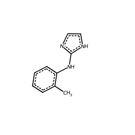 Cc1ccccc1Nc1ncc[nH]1